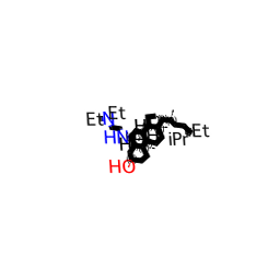 CC[C@H](CC[C@@H](C)[C@H]1CC[C@H]2[C@@H]3C[C@H](NCCN(CC)CC)[C@H]4C[C@@H](O)CC[C@]4(C)[C@H]3CC[C@]12C)C(C)C